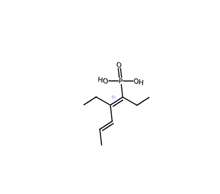 CC=C/C(CC)=C(\CC)P(=O)(O)O